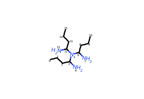 CCCC(N)N(C(N)CCC)C(N)CCC